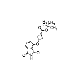 CC(C)(C)OC(=O)N1CC(Oc2cccc3c2C(=O)NC3=O)C1